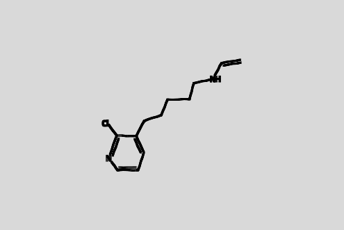 C=CNCCCCCc1cccnc1Cl